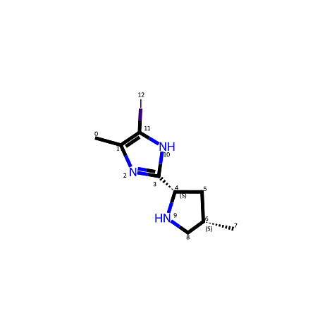 Cc1nc([C@@H]2C[C@H](C)CN2)[nH]c1I